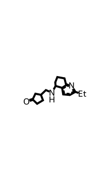 CCc1ccc2c(n1)CCCC2NCC1CCC(=O)C1